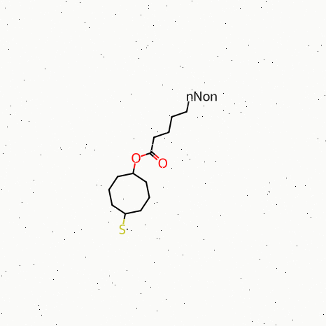 [CH2]CCCCCCCCCCCCC(=O)OC1CCCC([S])CCC1